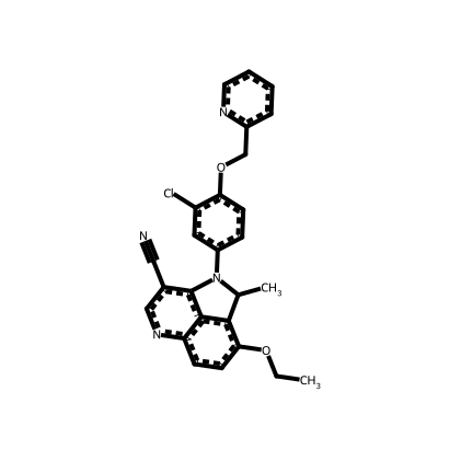 CCOc1ccc2ncc(C#N)c3c2c1C(C)N3c1ccc(OCc2ccccn2)c(Cl)c1